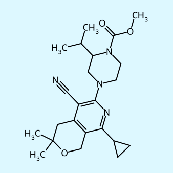 COC(=O)N1CCN(c2nc(C3CC3)c3c(c2C#N)CC(C)(C)OC3)CC1C(C)C